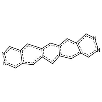 c1nncc2cc3cc4cc5cnncc5cc4cc3cc12